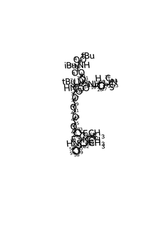 CC[C@H](C)[C@H](NC(=O)OC(C)(C)C)C(=O)O[C@@H]1C[C@@H](C(=O)NCc2ccc(-c3scnc3C)cc2)N(C(=O)[C@@H](NC(=O)COCCOCCOCCOc2cc(F)c([C@@H]3c4[nH]c5ccccc5c4C[C@@H](C)N3CC(C)(C)F)c(F)c2)C(C)(C)C)C1